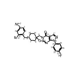 N#Cc1ccc(CN2CCC(O)(Cn3cnc4c(cnn4-c4ccc(F)cc4)c3=O)CC2)c(Br)c1